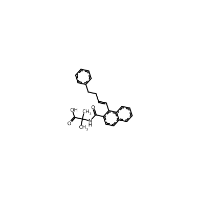 CC(C)(NC(=O)c1ccc2ccccc2c1C=CCCc1ccccc1)C(=O)O